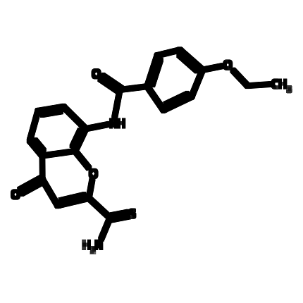 CCOc1ccc(C(=O)Nc2cccc3c(=O)cc(C(N)=S)oc23)cc1